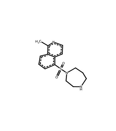 Cc1nccc2c(S(=O)(=O)N3CCCNCC3)cccc12